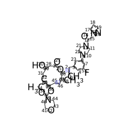 C/C(=C\c1cc(F)cc(N2CCN(C(=O)Cn3cccn3)CC2)c1)[C@H]1OC(=O)C[C@H](O)CC[C@H](C)[C@@H](OC(=O)N2CCOCC2)/C=C/[C@@H]1C